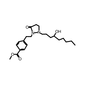 CCCCCC(O)CCCN1CCC(=O)N1CCc1ccc(C(=O)OC)cc1